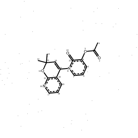 CC(=O)Oc1cccn(C2=CC(C)(C)Oc3ncccc32)c1=O